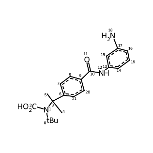 CC(C)(C)N(C(=O)O)C(C)(C)c1ccc(C(=O)Nc2cccc(N)c2)cc1